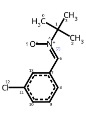 CC(C)(C)/[N+]([O-])=C/c1cccc(Cl)c1